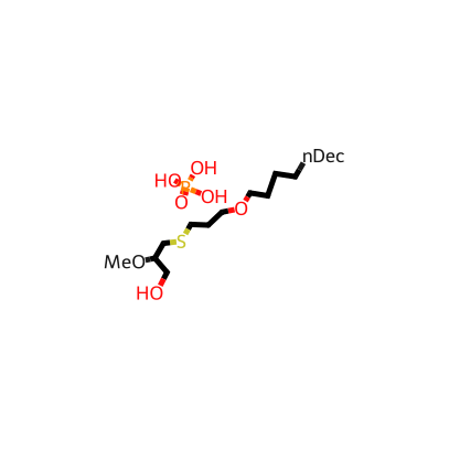 CCCCCCCCCCCCCCOCCCSCC(CO)OC.O=P(O)(O)O